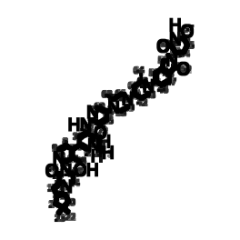 [2H]C([2H])([2H])n1cc(-c2ccnc(N3CCn4c(cc5c4CC(C)(C)C5)C3=O)c2CO)cc(Nc2ccc(N3CCN([C@@H]4CCN(c5ccc6c(c5)CN([C@H]5CCC(=O)NC5=O)C6=O)[C@H](C)C4)C[C@@H]3C)cn2)c1=O